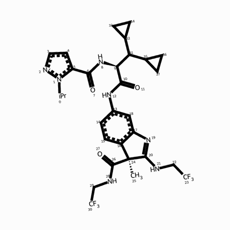 CC(C)n1nccc1C(=O)N[C@H](C(=O)Nc1ccc2c(c1)N=C(NCC(F)(F)F)[C@@]2(C)C(=O)NCC(F)(F)F)C(C1CC1)C1CC1